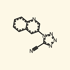 N#Cc1nnnn1-c1cnc2ccccc2c1